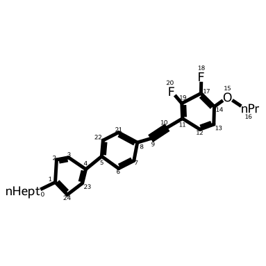 CCCCCCCc1ccc(-c2ccc(C#Cc3ccc(OCCC)c(F)c3F)cc2)cc1